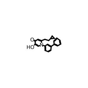 O=c1cc(CCC2CC2)n(-c2cccc(-c3ccccc3)c2)cc1O